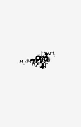 COCCn1ncc2cc(Nc3nc(N[C@H](C4CC4)[C@H](C)N)c(F)cc3C(N)=O)ccc21